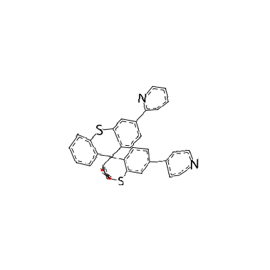 c1ccc(-c2ccc3c(c2)Sc2ccccc2C32c3ccccc3Sc3cc(-c4ccncc4)ccc32)nc1